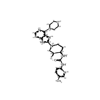 Cc1ccc(NC(=O)NC2CCN(c3nc4c(N5CCOCC5)ncnc4[nH]3)CC2F)nc1